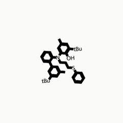 Cc1cc(-c2ccccc2N(CCCSc2ccccc2)c2cc(C)cc(C(C)(C)C)c2O)cc(C(C)(C)C)c1